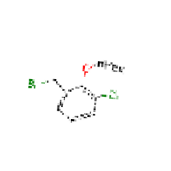 CCCCCCOc1c(Cl)cccc1CBr